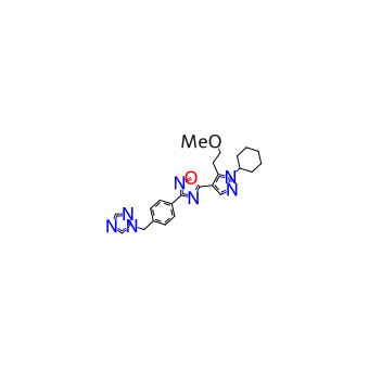 COCCc1c(-c2nc(-c3ccc(Cn4cncn4)cc3)no2)cnn1C1CCCCC1